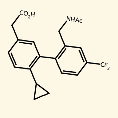 CC(=O)NCc1cc(C(F)(F)F)ccc1-c1cc(CC(=O)O)ccc1C1CC1